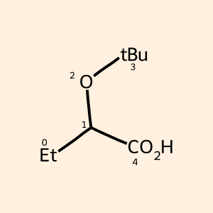 CCC(OC(C)(C)C)C(=O)O